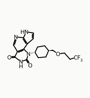 O=c1[nH]c(=O)n([C@H]2CC[C@H](COCCC(F)(F)F)CC2)c2c1cnc1[nH]ccc12